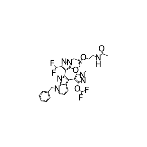 CC(=O)NCCO[C@@H]1COc2c(-c3nc4n(Cc5ccccc5)cccc-4c3-c3cn(C)nc3OC(F)F)c(C(F)F)nn2C1